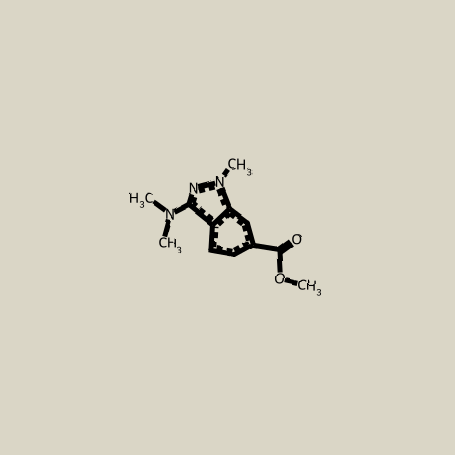 COC(=O)c1ccc2c(N(C)C)nn(C)c2c1